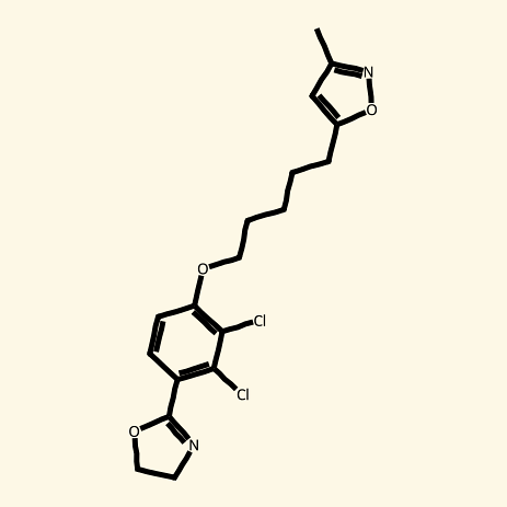 Cc1cc(CCCCCOc2ccc(C3=NCCO3)c(Cl)c2Cl)on1